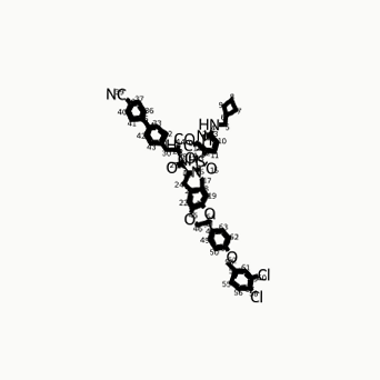 Cc1nc(NCC2CCC2)ccc1S(=O)(=O)N1Cc2cc3c(cc2C[C@H]1C(=O)NC(Cc1ccc(-c2ccc(C#N)cc2)cc1)C(=O)O)OC[C@H](c1ccc(OCc2ccc(Cl)c(Cl)c2)cc1)O3